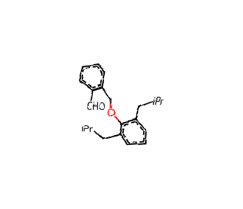 CC(C)Cc1cccc(CC(C)C)c1OCc1ccccc1C=O